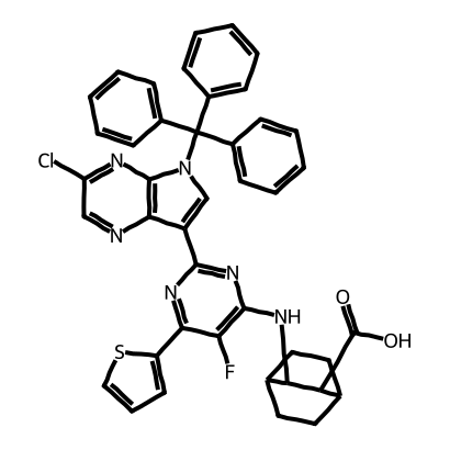 O=C(O)C1C2CCC(CC2)C1Nc1nc(-c2cn(C(c3ccccc3)(c3ccccc3)c3ccccc3)c3nc(Cl)cnc23)nc(-c2cccs2)c1F